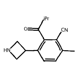 Cc1ccc(C2CNC2)c(C(=O)C(C)C)c1C#N